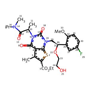 CCOC(=O)c1sc2c(c1C)c(=O)n([C@H](C)C(=O)N(C)C(C)C)c(=O)n2C[C@H](OCCO)c1cc(F)ccc1OC